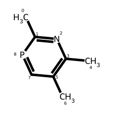 Cc1nc(C)c(C)cp1